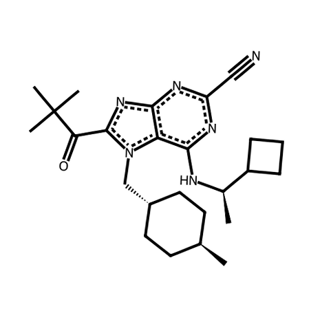 C[C@@H](Nc1nc(C#N)nc2nc(C(=O)C(C)(C)C)n(C[C@H]3CC[C@H](C)CC3)c12)C1CCC1